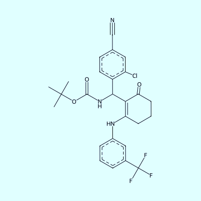 CC(C)(C)OC(=O)NC(C1=C(Nc2cccc(C(F)(F)F)c2)CCCC1=O)c1ccc(C#N)cc1Cl